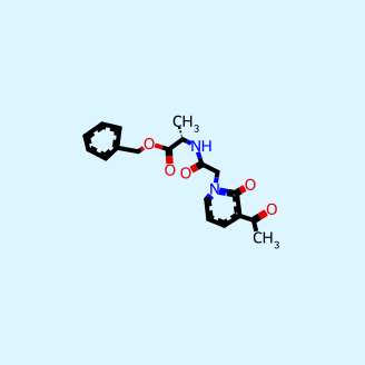 CC(=O)c1cccn(CC(=O)N[C@@H](C)C(=O)OCc2ccccc2)c1=O